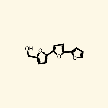 OCc1ccc(-c2ccc(-c3ccco3)o2)o1